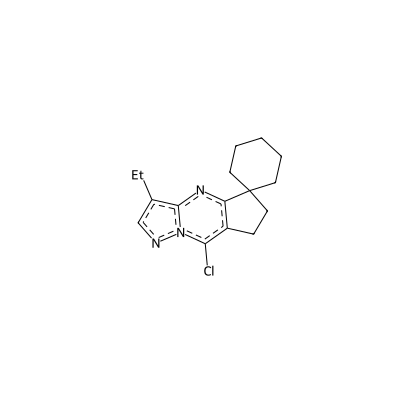 CCc1cnn2c(Cl)c3c(nc12)C1(CCCCC1)CC3